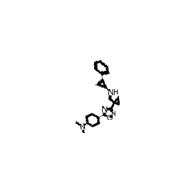 CN(C)[C@H]1CC[C@H](c2nc(C3(CN[C@H]4C[C@@H]4c4ccccc4)CC3)no2)CC1